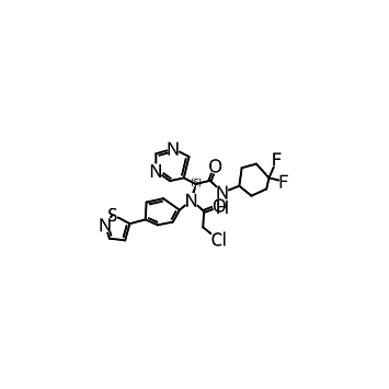 O=C(NC1CCC(F)(F)CC1)[C@H](c1cncnc1)N(C(=O)CCl)c1ccc(-c2ccns2)cc1